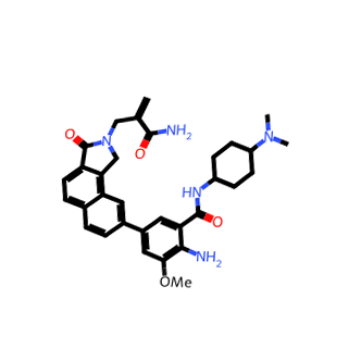 C=C(CN1Cc2c(ccc3ccc(-c4cc(OC)c(N)c(C(=O)NC5CCC(N(C)C)CC5)c4)cc23)C1=O)C(N)=O